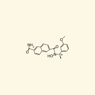 COc1cccc([C@@H](C)N(O)C(=O)c2ccc3cc(C(N)=O)ccc3c2)c1